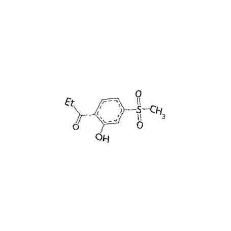 CCC(=O)c1ccc(S(C)(=O)=O)cc1O